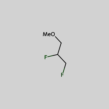 COCC(F)CF